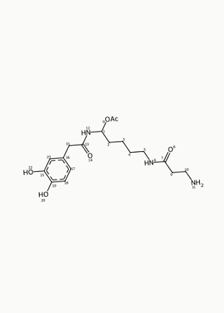 CC(=O)OC(CCCCNC(=O)CCN)NC(=O)Cc1ccc(O)c(O)c1